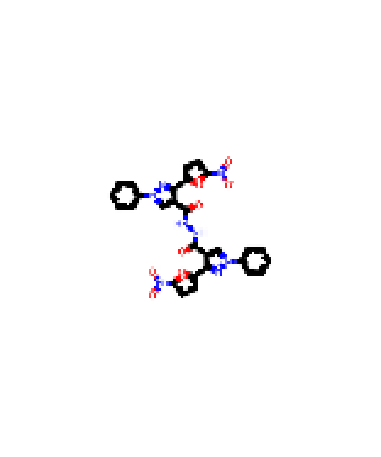 O=C(NNC(=O)c1cn(-c2ccccc2)nc1-c1ccc([N+](=O)[O-])o1)c1cn(-c2ccccc2)nc1-c1ccc([N+](=O)[O-])o1